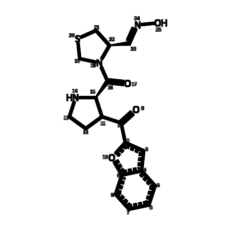 O=C(c1cc2ccccc2o1)C1CCN[C@H]1C(=O)N1CSC[C@H]1C=NO